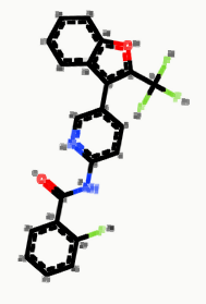 O=C(Nc1ccc(-c2c(C(F)(F)F)oc3ccccc23)cn1)c1ccccc1F